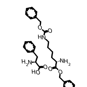 N[C@@H](CCCCNC(=O)OCc1ccccc1)C(=O)OCc1ccccc1.N[C@@H](Cc1ccccc1)C(=O)O